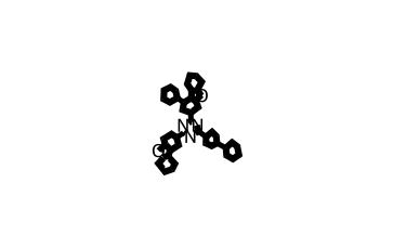 c1ccc(-c2ccc(-c3nc(-c4cc(-c5ccccc5)c5c(c4)oc4ccccc45)nc(-c4ccc5oc6ccccc6c5c4)n3)cc2)cc1